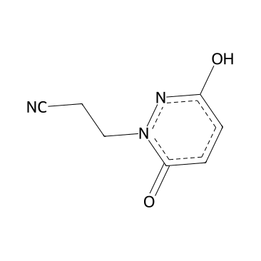 N#CCCn1nc(O)ccc1=O